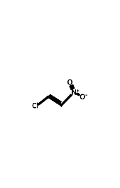 O=[N+]([O-])/[C]=C/Cl